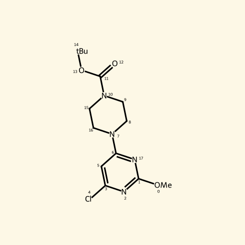 COc1nc(Cl)cc(N2CCN(C(=O)OC(C)(C)C)CC2)n1